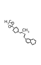 COC(=O)c1ccc(C=C(C)C=Cc2ccc3ccccc3c2)cc1